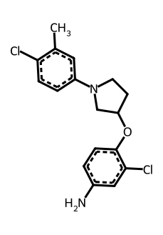 Cc1cc(N2CCC(Oc3ccc(N)cc3Cl)C2)ccc1Cl